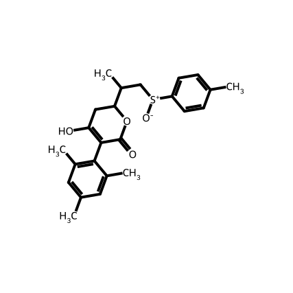 Cc1ccc([S+]([O-])CC(C)C2CC(O)=C(c3c(C)cc(C)cc3C)C(=O)O2)cc1